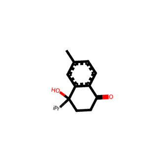 Cc1ccc2c(c1)C(O)(C(C)C)CCC2=O